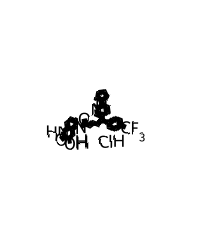 Cl.O=C(C=CC=C(c1ccc(C(F)(F)F)cc1)c1ccc(N2CCCC2)nc1)Nc1cccc2c1CC(O)C(=O)N2